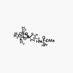 COC(=O)C(NCc1ccc(B2OC(C)(C)C(C)(C)O2)cc1)C(C)C